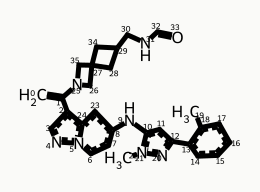 C=C(c1cnn2ccc(Nc3cc(-c4ccccc4C)nn3C)cc12)N1CC2(CC(CNC=O)C2)C1